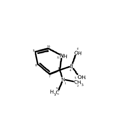 CN(C)C1(B(O)O)C=CC=CN1